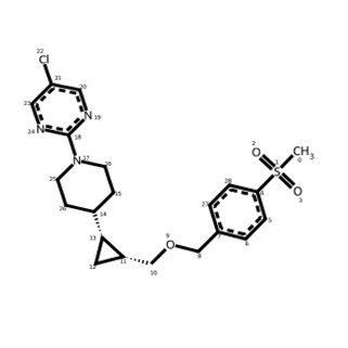 CS(=O)(=O)c1ccc(COC[C@@H]2C[C@@H]2C2CCN(c3ncc(Cl)cn3)CC2)cc1